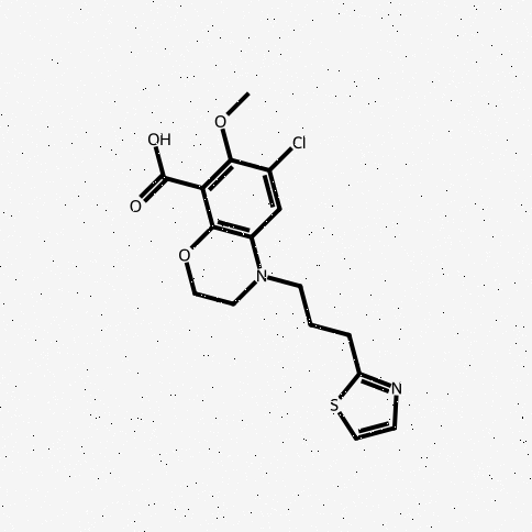 COc1c(Cl)cc2c(c1C(=O)O)OCCN2CCCc1nccs1